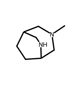 CN1CC2CCC(C1)NC2